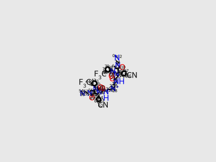 CN(C)CCN1CC2=C(C1=O)[C@@H](c1ccc(C#N)cc1)N(CC(=O)NCC[N+](C)(C)CCNC(=O)CN1C(=O)N(c3cccc(C(F)(F)F)c3)C3=C(C(=O)N(CCN(C)C)C3)[C@H]1c1ccc(C#N)cc1)C(=O)N2c1cccc(C(F)(F)F)c1